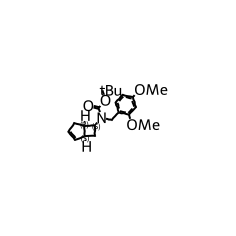 COc1ccc(CN(C(=O)OC(C)(C)C)[C@H]2C[C@H]3C=CC[C@H]32)c(OC)c1